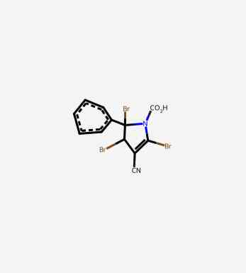 N#CC1=C(Br)N(C(=O)O)C(Br)(c2ccccc2)C1Br